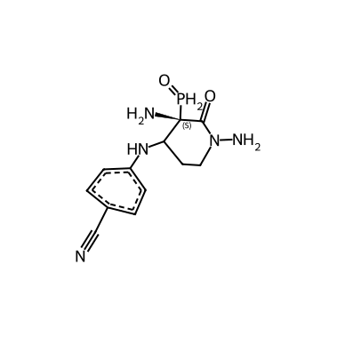 N#Cc1ccc(NC2CCN(N)C(=O)[C@@]2(N)[PH2]=O)cc1